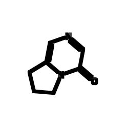 O=c1cncc2n1CCC2